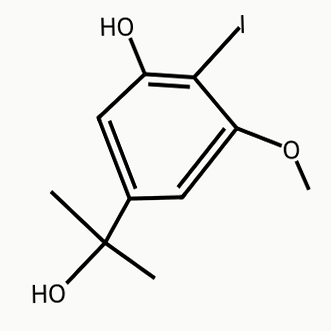 COc1cc(C(C)(C)O)cc(O)c1I